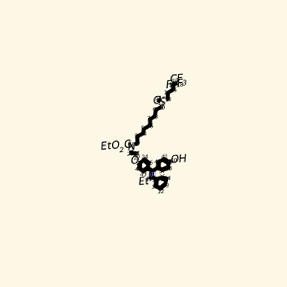 CCOC(=O)N(CCCCCCCCC[S+]([O-])CCCC(F)(F)C(F)(F)F)CCOc1ccc(/C(=C(\CC)c2ccccc2)c2ccc(O)cc2)cc1